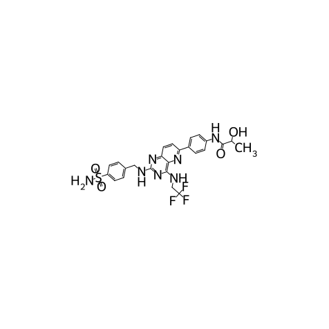 CC(O)C(=O)Nc1ccc(-c2ccc3nc(NCc4ccc(S(N)(=O)=O)cc4)nc(NCC(F)(F)F)c3n2)cc1